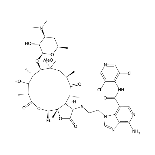 CC[C@H]1OC(=O)[C@H](C)C(O)[C@H](C)[C@@H](O[C@@H]2O[C@H](C)C[C@H](N(C)C)[C@H]2O)[C@](C)(OC)C[C@@H](C)C(=O)[C@H](C)[C@H]2C(SCCn3cnc4c(N)ncc(C(=O)Nc5c(Cl)cncc5Cl)c43)C(=O)O[C@@]21C